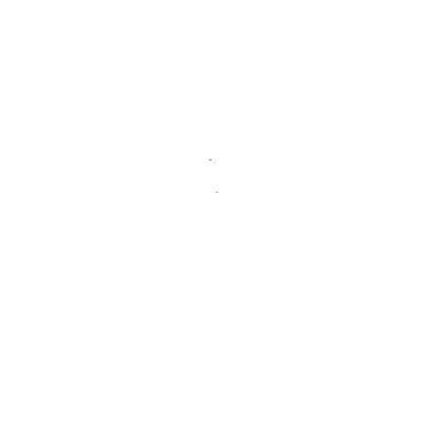 Cc1nc(Oc2ccccc2)c2nc(C)n(CCOCC#Cc3ccccc3)c2c1C